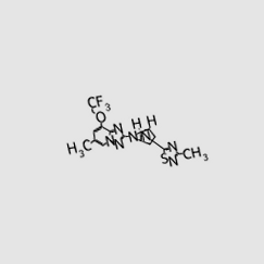 Cc1cc(OCC(F)(F)F)c2nc(N3[C@H]4[C@H]5CC[C@]43CN(c3nc(C)ns3)C5)nn2c1